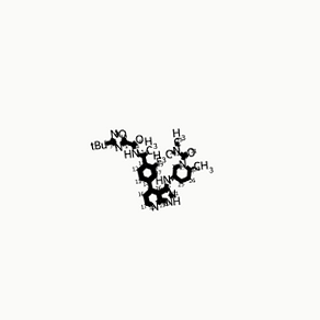 CC(NC(=O)c1nc(C(C)(C)C)no1)c1ccc(-c2ccnc3[nH]nc(N[C@@H]4CC[C@H](C)N(C(=O)N(C)C)C4)c23)cc1F